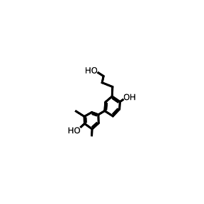 Cc1cc(-c2ccc(O)c(CCCO)c2)cc(C)c1O